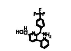 Cl.Cl.N[C@@H](c1ccc(C(F)(F)F)cc1)c1ncccc1-c1ccccn1